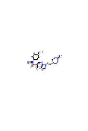 CCN1CCC(CCn2cnc3c(Cl)c(C(=O)N(CC)c4ccc(C)cc4)cnc32)CC1